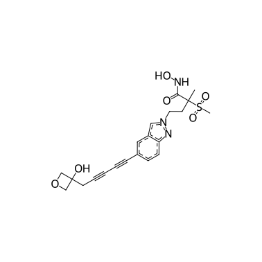 CC(CCn1cc2cc(C#CC#CCC3(O)COC3)ccc2n1)(C(=O)NO)S(C)(=O)=O